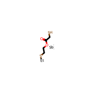 CCSCCOC(=O)CS.[Sb]